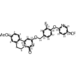 COc1ccc2c(c1)CCn1c-2cc(OCc2ccc(Oc3ccc(C(F)(F)F)cn3)c(F)c2)nc1=O